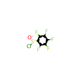 [O-][S+](Cl)c1c(F)c(F)c(F)c(F)c1F